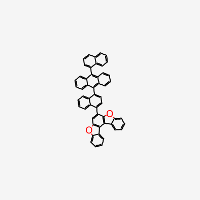 c1ccc2c(-c3c4ccccc4c(-c4ccc(-c5cc6oc7ccccc7c6c6c5oc5ccccc56)c5ccccc45)c4ccccc34)cccc2c1